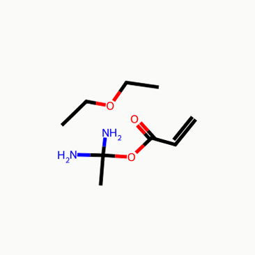 C=CC(=O)OC(C)(N)N.CCOCC